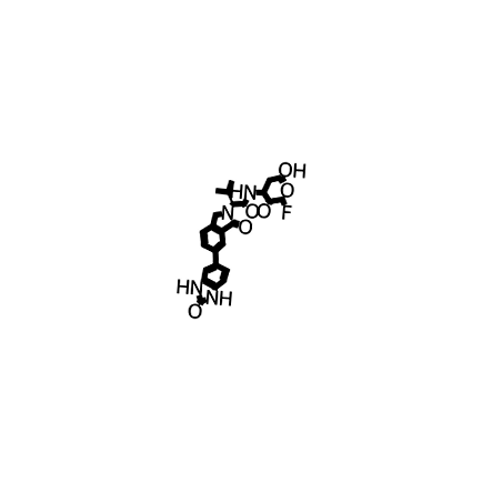 CC(C)[C@@H](C(=O)NC(CC(=O)O)C(=O)CF)N1Cc2ccc(-c3ccc4[nH]c(=O)[nH]c4c3)cc2C1=O